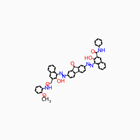 COc1ccccc1NOCc1cc2ccccc2c(N=Nc2ccc3c(c2)C(=O)c2cc(N=Nc4c(O)c(C(=O)Nc5ccccc5)cc5ccccc45)ccc2-3)c1O